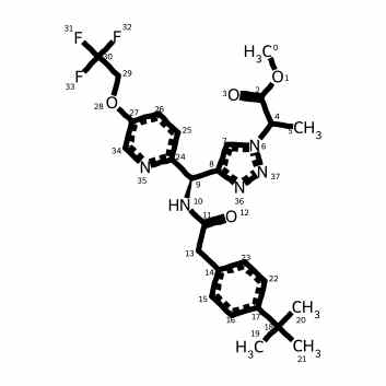 COC(=O)C(C)n1cc([C@@H](NC(=O)Cc2ccc(C(C)(C)C)cc2)c2ccc(OCC(F)(F)F)cn2)nn1